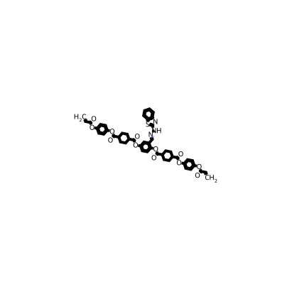 C=CC(=O)Oc1ccc(OC(=O)C2CCC(C(=O)Oc3ccc(OC(=O)C4CCC(C(=O)Oc5ccc(OC(=O)C=C)cc5)CC4)c(/C=N/Nc4nc5ccccc5s4)c3)CC2)cc1